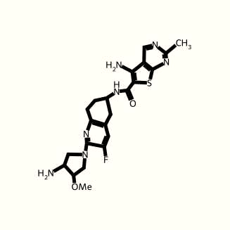 COC1CN(c2nc3c(cc2F)CC(NC(=O)c2sc4nc(C)ncc4c2N)CC3)CC1N